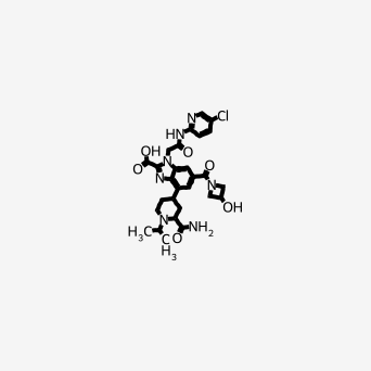 CC(C)N1CCC(c2cc(C(=O)N3CC(O)C3)cc3c2nc(C(=O)O)n3CC(=O)Nc2ccc(Cl)cn2)CC1C(N)=O